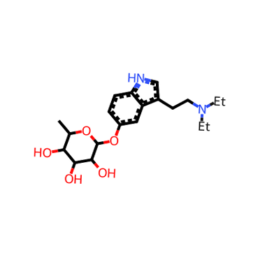 CCN(CC)CCc1c[nH]c2ccc(OC3OC(C)C(O)C(O)C3O)cc12